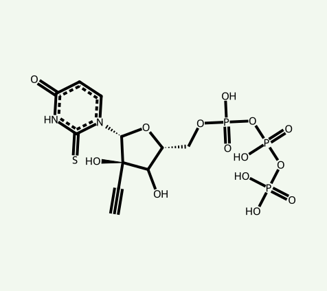 C#C[C@@]1(O)C(O)[C@@H](COP(=O)(O)OP(=O)(O)OP(=O)(O)O)O[C@H]1n1ccc(=O)[nH]c1=S